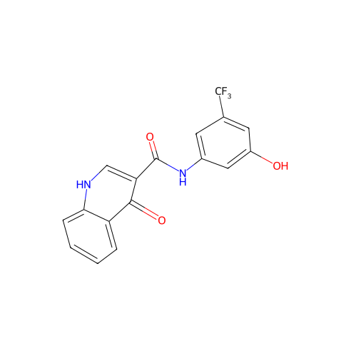 O=C(Nc1cc(O)cc(C(F)(F)F)c1)c1c[nH]c2ccccc2c1=O